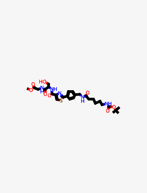 COC(=O)CNC(=O)C(CO)NC(=O)c1csc(-c2ccc(CNC(=O)CCCCCNC(=O)OC(C)(C)C)cc2)n1